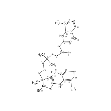 CCN(CCC(C)(C)OCCC(C)(C)N(CC)CC(=O)Nc1c(C)cccc1C)CC(=O)Nc1c(C)cccc1C